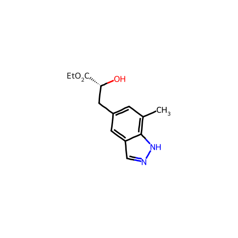 CCOC(=O)[C@H](O)Cc1cc(C)c2[nH]ncc2c1